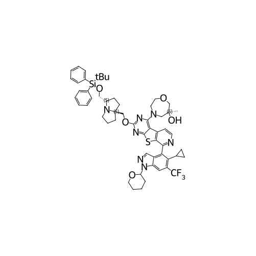 CC(C)(C)[Si](OC[C@@H]1CC[C@]2(COc3nc(N4CCOC[C@@](C)(O)C4)c4c(n3)sc3c(-c5c(C6CC6)c(C(F)(F)F)cc6c5cnn6C5CCCCO5)nccc34)CCCN12)(c1ccccc1)c1ccccc1